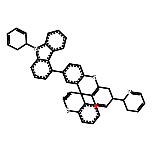 C1=CCC(C2C=CC3=C(C2)Sc2ccc(-c4cccc5c4c4ccccc4n5C4C=CC=CC4)cc2C32c3ccccc3Sc3ccccc32)N=C1